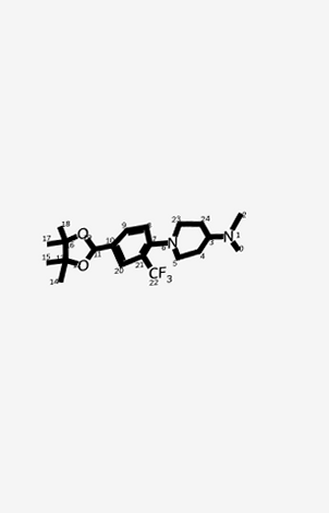 CN(C)C1CCN(c2ccc(C3OC(C)(C)C(C)(C)O3)cc2C(F)(F)F)CC1